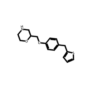 c1csc(Cc2ccc(OCC3CNCCO3)cc2)c1